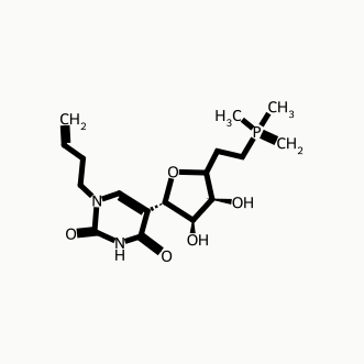 C=CCCn1cc([C@@H]2OC(CCP(=C)(C)C)[C@@H](O)[C@H]2O)c(=O)[nH]c1=O